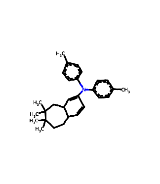 Cc1ccc(N(C2=CC3CC(C)(C)C(C)(C)CCC3C=C2)c2ccc(C)cc2)cc1